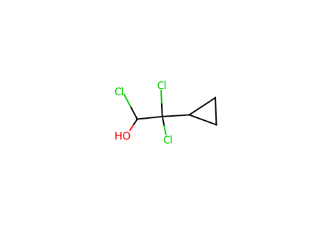 OC(Cl)C(Cl)(Cl)C1CC1